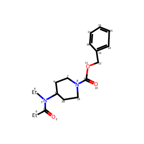 CCC(=O)N(CC)C1CCN(C(=O)OCc2ccccc2)CC1